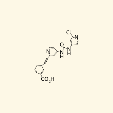 O=C(Nc1ccnc(Cl)c1)Nc1ccnc(C#Cc2cccc(C(=O)O)c2)c1